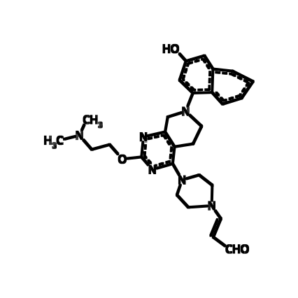 CN(C)CCOc1nc2c(c(N3CCN(C=CC=O)CC3)n1)CCN(c1cc(O)cc3ccccc13)C2